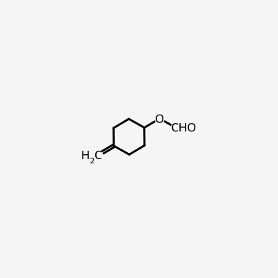 C=C1CCC(OC=O)CC1